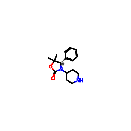 CC1(C)OC(=O)N(C2CCNCC2)[C@H]1c1ccccc1